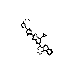 C[C@@H]1c2ccccc2CCN1C(=O)c1cc(C2CC2)n2nc(-c3ccc(N4CCC(C(=O)O)C4)cc3F)cc2c1